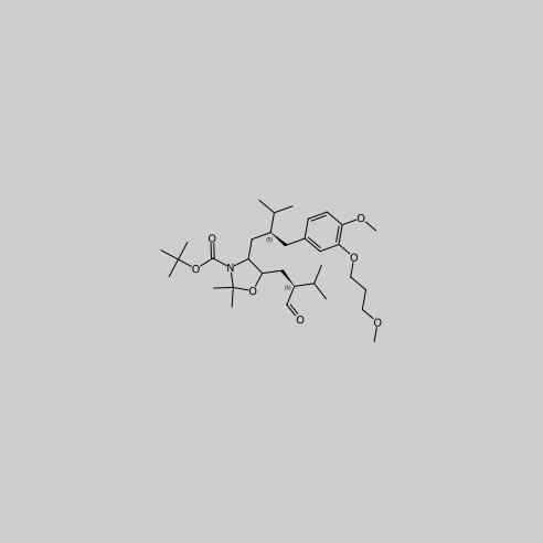 COCCCOc1cc(C[C@@H](CC2C(C[C@H](C=O)C(C)C)OC(C)(C)N2C(=O)OC(C)(C)C)C(C)C)ccc1OC